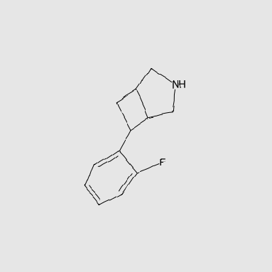 Fc1ccccc1C1CC2CNCC21